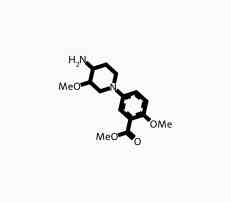 COC(=O)c1cc(N2CCC(N)C(OC)C2)ccc1OC